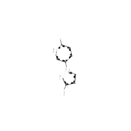 Cc1ccc(-n2ccc(C(C)C)n2)cn1